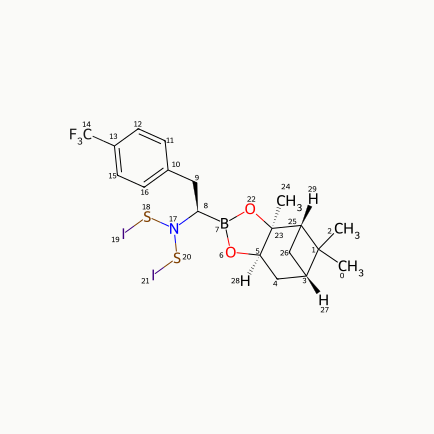 CC1(C)[C@@H]2C[C@H]3OB([C@H](Cc4ccc(C(F)(F)F)cc4)N(SI)SI)O[C@@]3(C)[C@H]1C2